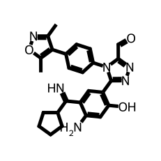 Cc1noc(C)c1-c1ccc(-n2c(C=O)nnc2-c2cc(C(=N)C3CCCC3)c(N)cc2O)cc1